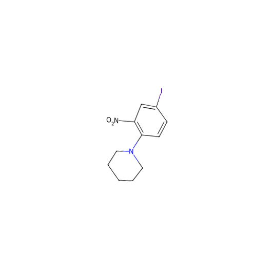 O=[N+]([O-])c1cc(I)ccc1N1CCCCC1